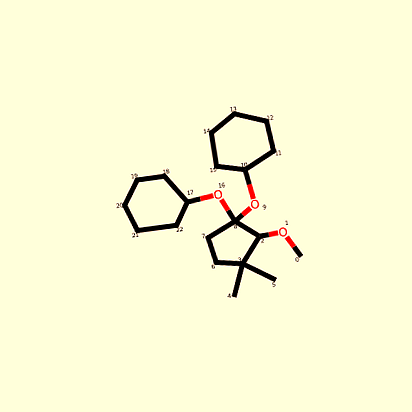 COC1C(C)(C)CCC1(OC1CCCCC1)OC1CCCCC1